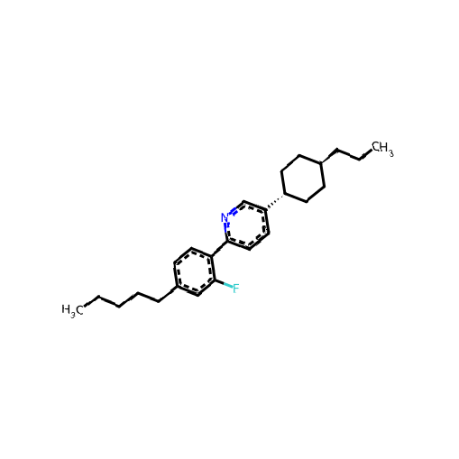 CCCCCc1ccc(-c2ccc([C@H]3CC[C@H](CCC)CC3)cn2)c(F)c1